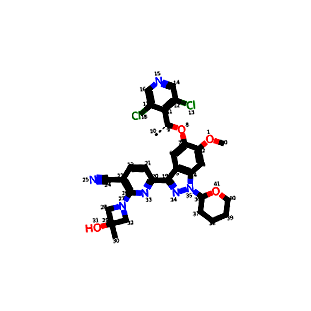 COc1cc2c(cc1O[C@H](C)c1c(Cl)cncc1Cl)c(-c1ccc(C#N)c(N3CC(C)(O)C3)n1)nn2C1CCCCO1